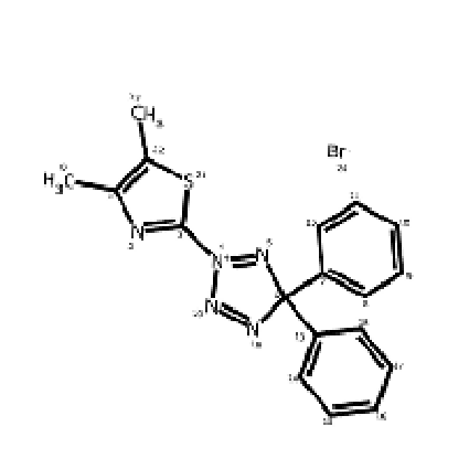 Cc1nc([N+]2=NC(c3ccccc3)(c3ccccc3)N=N2)sc1C.[Br-]